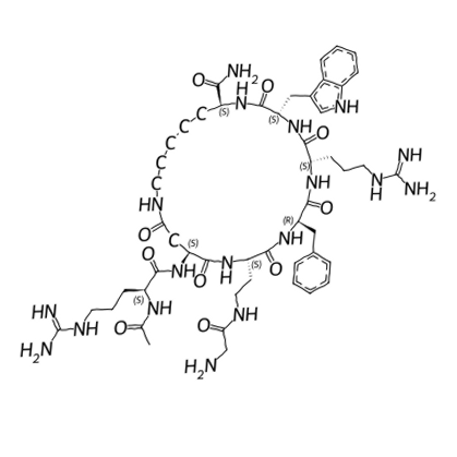 CC(=O)N[C@@H](CCCNC(=N)N)C(=O)N[C@H]1CC(=O)NCCCCC[C@@H](C(N)=O)NC(=O)[C@H](Cc2c[nH]c3ccccc23)NC(=O)[C@H](CCCNC(=N)N)NC(=O)[C@@H](Cc2ccccc2)NC(=O)[C@H](CCNC(=O)CN)NC1=O